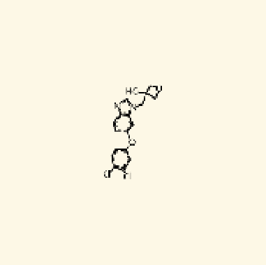 OC1(Cn2cnc3ccc(Oc4ccc(Cl)c(Cl)c4)cc32)COC1